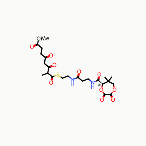 COC(=O)CCC(=O)CC(=O)C(C)C(=O)SCCNC(=O)CCNC(=O)[C@@H]1OC(=O)C(=O)OCC1(C)C